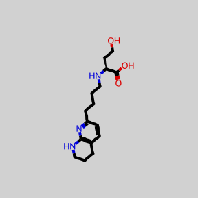 O=C(O)[C@H](CCO)NCCCCc1ccc2c(n1)NCCC2